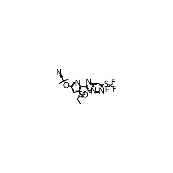 CC[S@+]([O-])c1cc(OC(C)(C)C#N)cnc1-c1cn2cnc(SC(F)(F)F)cc2n1